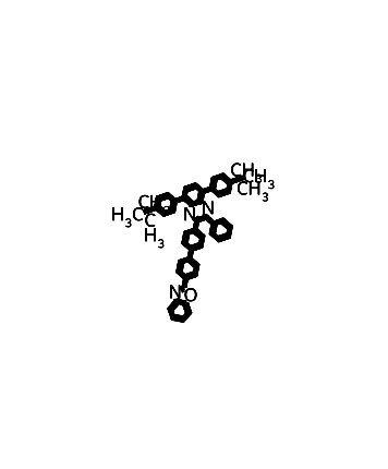 CC(C)(C)c1ccc(-c2ccc(-c3ccc(C(C)(C)C)cc3)c3nc(-c4ccc(-c5ccc(-c6nc7ccccc7o6)cc5)cc4)c(-c4ccccc4)nc23)cc1